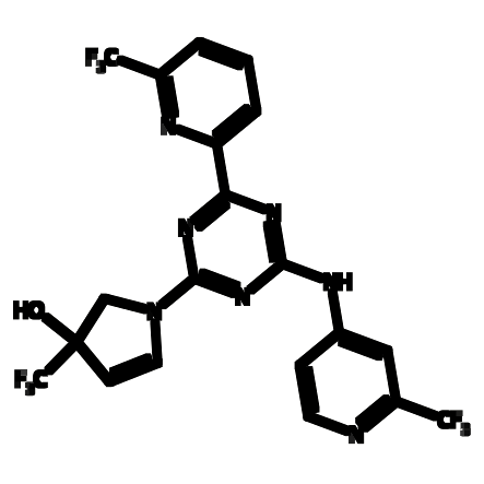 OC1(C(F)(F)F)C=CN(c2nc(Nc3ccnc(C(F)(F)F)c3)nc(-c3cccc(C(F)(F)F)n3)n2)C1